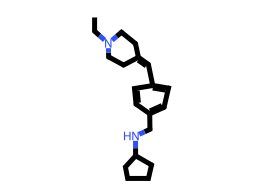 CCN1CCC(=Cc2ccc(CNC3CCCC3)cc2)CC1